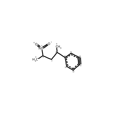 CC(CC(C)[SH](=O)=O)c1cc#ccc1